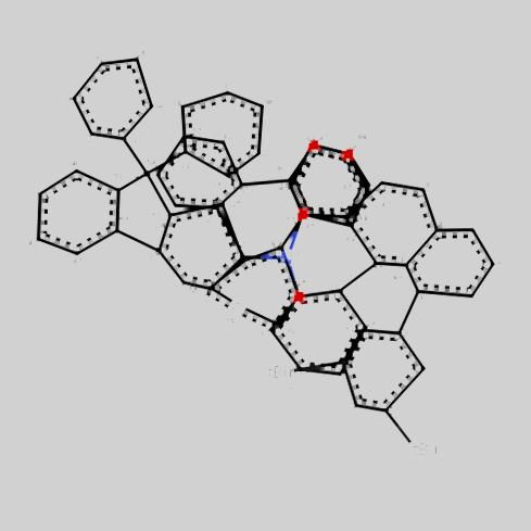 CC(C)(C)c1cc(-c2cccc3cccc(-c4ccccc4N(c4ccc5c(c4)C(c4ccccc4)(c4ccccc4)c4ccccc4-5)c4ccccc4-c4ccccc4-c4ccccc4-c4ccccc4)c23)cc(C(C)(C)C)c1